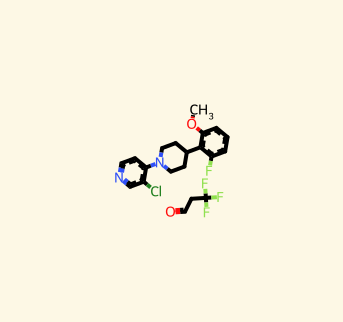 COc1cccc(F)c1C1CCN(c2ccncc2Cl)CC1.O=CCC(F)(F)F